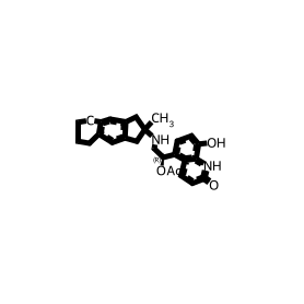 CC(=O)O[C@@H](CNC1(C)Cc2cc3c(cc2C1)CCCC3)c1ccc(O)c2[nH]c(=O)ccc12